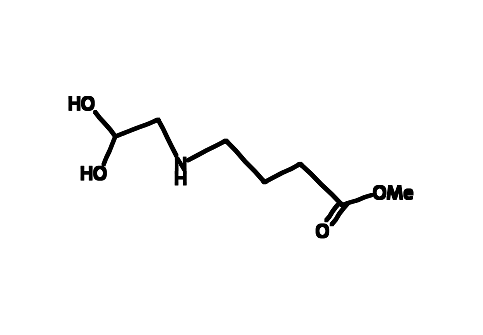 COC(=O)CCCNCC(O)O